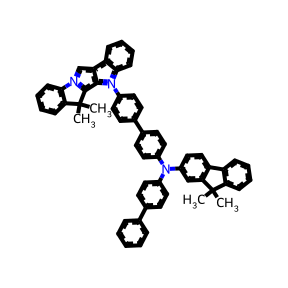 CC1(C)c2ccccc2-c2ccc(N(c3ccc(-c4ccccc4)cc3)c3ccc(-c4ccc(-n5c6ccccc6c6cn7c(c65)C(C)(C)c5ccccc5-7)cc4)cc3)cc21